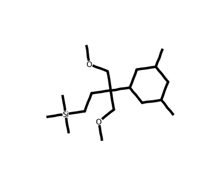 COCC(CC[Si](C)(C)C)(COC)C1CC(C)CC(C)C1